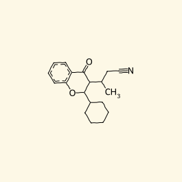 CC(CC#N)C1C(=O)c2ccccc2OC1C1CCCCC1